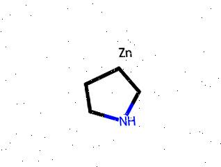 C1CCNC1.[Zn]